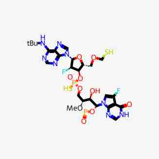 CO[C@H](COP(=O)(S)O[C@H]1[C@@H](F)[C@H](n2cnc3c(NC(C)(C)C)ncnc32)O[C@@H]1COCS)[C@@H](O)[C@@H](OP=O)n1cc(F)c2c(=O)[nH]cnc21